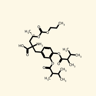 CCCOC(=O)O[C@@H](C)CC(N)(Cc1ccc(OC(=O)C(C)C(C)C)c(OC(=O)C(C)C(C)C)c1)C(=O)O